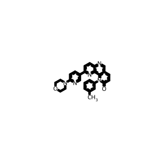 Cc1cccc(-n2c(=O)ccc3cnc4ccc(-c5ccc(N6CCOCC6)nc5)nc4c32)c1